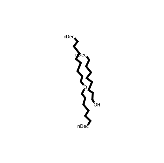 CCCCCCCCCCCCCCCCCCO.CCCCCCCCCCCCCCCCCCOCCCCCCCCCCCCCCCC